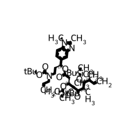 C=CCN(CC[C@H](OC(=O)C[C@H](O[Si](C)(C)C(C)(C)C)C(C)(C)C(=O)[C@H](C)[C@@H](O[Si](C)(C)C(C)(C)C)[C@@H](C)C=C)c1ccc2c(c1)nc(C)n2C)C(=O)OC(C)(C)C